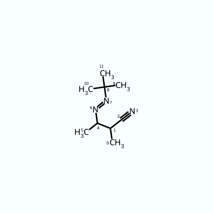 CC(C#N)C(C)/N=N/C(C)(C)C